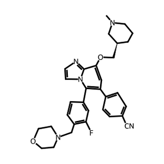 CN1CCC[C@@H](COc2cc(-c3ccc(C#N)cc3)c(-c3ccc(CN4CCOCC4)c(F)c3)n3ccnc23)C1